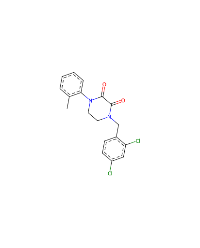 Cc1ccccc1N1CCN(Cc2ccc(Cl)cc2Cl)C(=O)C1=O